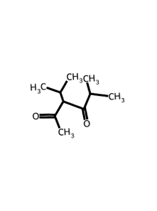 CC(=O)C(C(=O)C(C)C)C(C)C